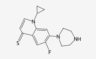 Fc1cc2c(=S)ccn(C3CC3)c2cc1N1CCNCC1